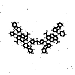 CC(C)c1cc(N(c2ccccc2)c2cccc3c2oc2ccccc23)c2ccc3c(C(C)C)cc(N(c4ccc(C(C)(C)c5ccc(N(c6cc(C(C)C)c7ccc8c(N(c9ccccc9)c9cccc%10c9oc9ccccc9%10)cc(C(C)C)c9ccc6c7c98)c6cccc7c6oc6ccccc67)cc5)cc4)c4cccc5c4oc4ccccc45)c4ccc1c2c34